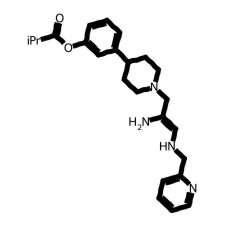 CC(C)C(=O)Oc1cccc(C2CCN(C/C(N)=C/NCc3ccccn3)CC2)c1